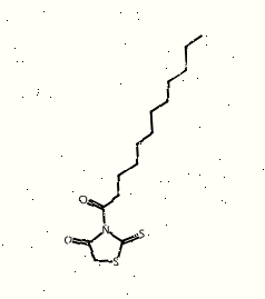 CCCCCCCCCCCC(=O)N1C(=O)CSC1=S